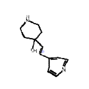 OC1(/C=C/c2ccncc2)CCNCC1